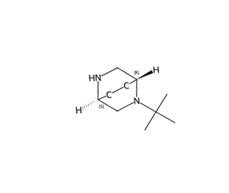 CC(C)(C)N1C[C@@H]2CC[C@@H]1CN2